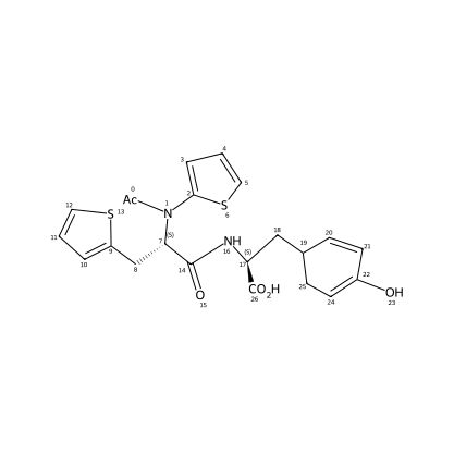 CC(=O)N(c1cccs1)[C@@H](Cc1cccs1)C(=O)N[C@@H](CC1C=CC(O)=CC1)C(=O)O